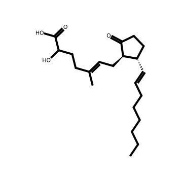 CCCCCC/C=C/[C@H]1CCC(=O)[C@@H]1C/C=C(\C)CCC(O)C(=O)O